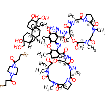 C[C@@]1(CO)[C@H](O)CC[C@@]2(C)[C@H]1CC[C@H]1C[C@@H]3C[C@@]12CC[C@]3(O)CO.Cc1c2oc3c(C)ccc(C(=O)N[C@@H]4C(=O)N[C@H](C(C)C)C(=O)N5CCC[C@H]5C(=O)N(C)CC(=O)N(C)[C@@H](C(C)C)C(=O)O[C@@H]4C)c3nc-2c(C(=O)N[C@@H]2C(=O)N[C@H](C(C)C)C(=O)N3CCC[C@H]3C(=O)N(C)CC(=O)N(C)[C@@H](C(C)C)C(=O)O[C@@H]2C)c(N)c1=O.O=C(CCBr)N1CCN(C(=O)CCBr)CC1